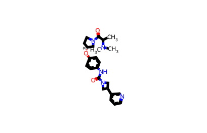 CC(C(=O)N1CC[C@@H](Oc2ccc(NC(=O)N3CC(c4cccnc4)C3)cc2)C1)N(C)C